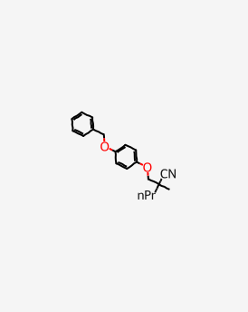 CCCC(C)(C#N)COc1ccc(OCc2ccccc2)cc1